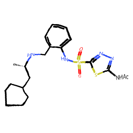 CC(=O)Nc1nnc(S(=O)(=O)Nc2ccccc2CN[C@@H](C)CC2CCCCC2)s1